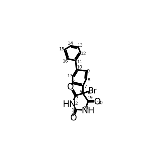 O=C1NC(=O)C(Br)(c2ccc(-c3ccccc3)cc2)C(=O)N1